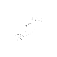 Nc1nc2c(nnn2[C@@H]2O[C@@H]3CNS(=O)(=O)O[C@H]4[C@@H](F)[C@H](n5cnc6c(N)ncnc65)O[C@@H]4COP(=O)(O)O[C@@H]2C3)c(=O)[nH]1